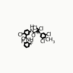 Cc1c(Cl)cc([C@@H]2[C@@H](C(=O)Nc3ccc(Cl)c(C(=O)Nc4c(F)cccc4F)c3)C2(Cl)Cl)cc1Cl